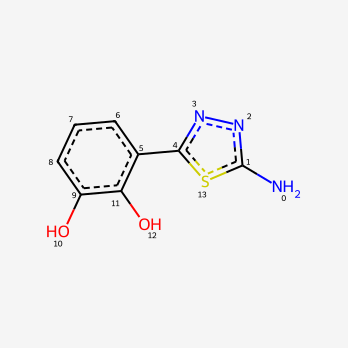 Nc1nnc(-c2cccc(O)c2O)s1